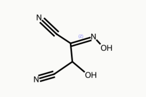 N#C/C(=N/O)C(O)C#N